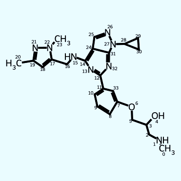 CNCC(O)COc1cccc(-c2nc(NCc3cc(C)nn3C)c3cnn(C4CC4)c3n2)c1